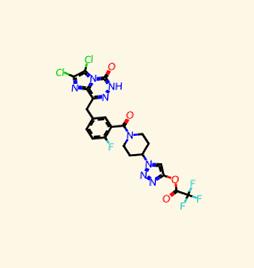 O=C(c1cc(Cc2n[nH]c(=O)n3c(Cl)c(Cl)nc23)ccc1F)N1CCC(n2cc(OC(=O)C(F)(F)F)nn2)CC1